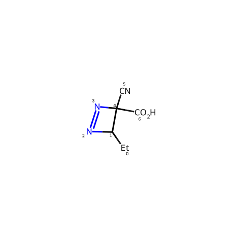 CCC1N=NC1(C#N)C(=O)O